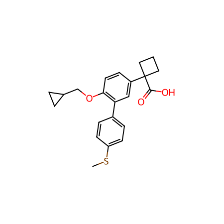 CSc1ccc(-c2cc(C3(C(=O)O)CCC3)ccc2OCC2CC2)cc1